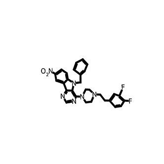 O=[N+]([O-])c1ccc2c(c1)c1ncnc(N3CCN(CCc4ccc(F)c(F)c4)CC3)c1n2Cc1ccccc1